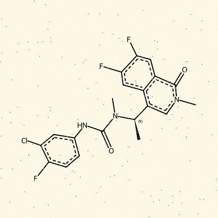 C[C@H](c1cn(C)c(=O)c2cc(F)c(F)cc12)N(C)C(=O)Nc1ccc(F)c(Cl)c1